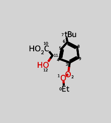 CCOOc1ccc(C(C)(C)C)cc1.O=C(O)CO